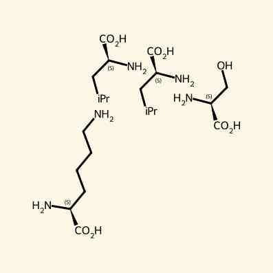 CC(C)C[C@H](N)C(=O)O.CC(C)C[C@H](N)C(=O)O.NCCCC[C@H](N)C(=O)O.N[C@@H](CO)C(=O)O